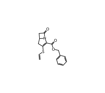 C=CSC1=C(C(=O)OCc2ccccc2)N2C(=O)CC2C1